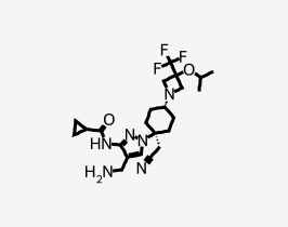 CC(C)OC1(C(F)(F)F)CN([C@H]2CC[C@](CC#N)(n3cc(CN)c(NC(=O)C4CC4)n3)CC2)C1